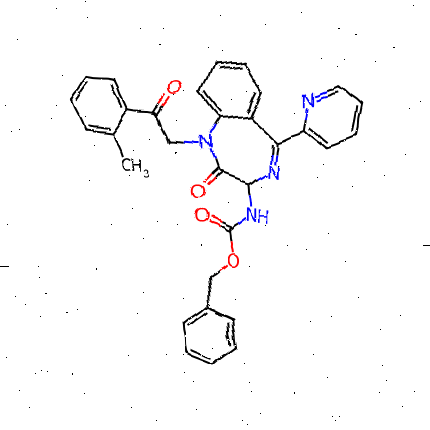 Cc1ccccc1C(=O)CN1C(=O)C(NC(=O)OCc2ccccc2)N=C(c2ccccn2)c2ccccc21